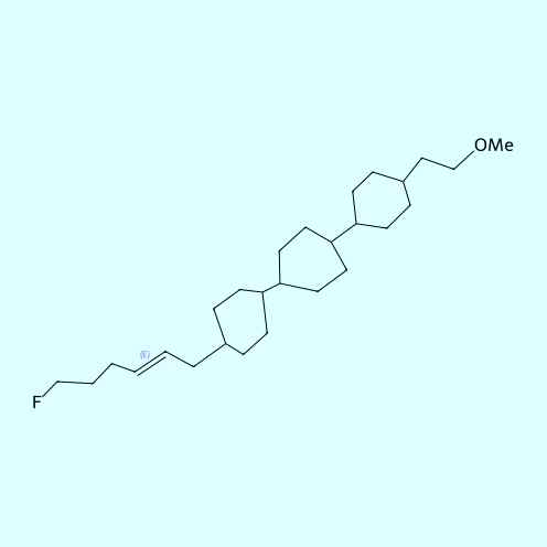 COCCC1CCC(C2CCC(C3CCC(C/C=C/CCCF)CC3)CC2)CC1